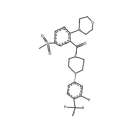 CS(=O)(=O)c1ccc(N2CCOCC2)c(C(=O)N2CCN(c3ccc(C(F)(F)F)c(F)c3)CC2)c1